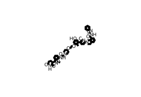 Cc1c(OCCOC2CCN(CC(=O)Nc3cccc4c(C5CCC(=O)NC5=O)nn(C)c34)CC2)cccc1-c1ccc(N2CCc3cccc(C(=O)Nc4nc5ccccc5s4)c3C2)nc1C(=O)O